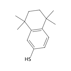 CC1(C)CCC(C)(C)c2cc(S)ccc21